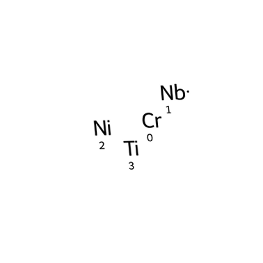 [Cr].[Nb].[Ni].[Ti]